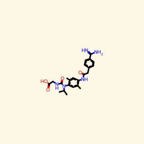 Cc1cc(N(C(=O)NCC(=O)O)C(C)C)c(C)cc1NC(=O)Cc1ccc(C(=N)N)cc1